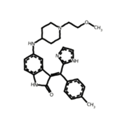 COCCN1CCC(Nc2ccc3c(c2)C(=C(c2ccc(C)cc2)c2ncc[nH]2)C(=O)N3)CC1